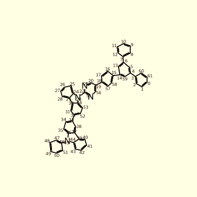 c1ccc(-c2cc(-c3ccccc3)cc(-c3ccc(-c4cnc(-n5c6ccccc6c6cc(-c7ccc8c(c7)c7ccccc7n8-c7ccccc7)ccc65)nc4)cc3)c2)cc1